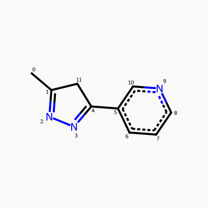 CC1=NN=C(c2cccnc2)C1